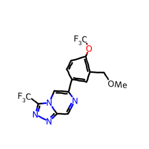 COCc1cc(-c2cn3c(C(F)(F)F)nnc3cn2)ccc1OC(F)(F)F